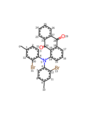 Cc1ccc(N(c2ccc(C)cc2Br)c2cccc3c2C(=O)c2ccccc2C3=O)c(Br)c1